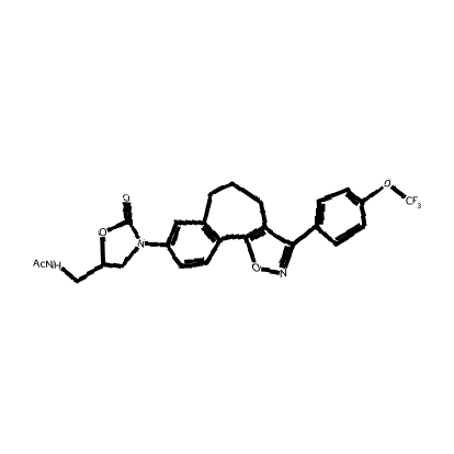 CC(=O)NCC1CN(c2ccc3c(c2)CCCc2c(-c4ccc(OC(F)(F)F)cc4)noc2-3)C(=O)O1